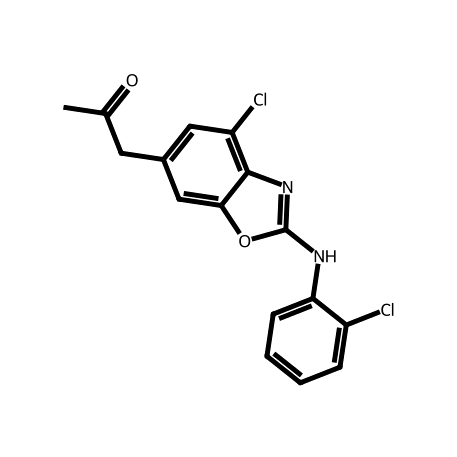 CC(=O)Cc1cc(Cl)c2nc(Nc3ccccc3Cl)oc2c1